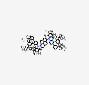 [2H]c1c([2H])c([2H])c(N(c2ccc(-c3cccc(C(C)(C)C)c3)c(-c3cccc(C(C)(C)C)c3)c2F)c2ccc3ccc4c(N(c5ccc(-c6cccc(C(C)(C)C)c6)c(-c6cccc(C(C)(C)C)c6)c5F)c5c([2H])c([2H])c([2H])c([2H])c5[2H])ccc5ccc2c3c54)c([2H])c1[2H]